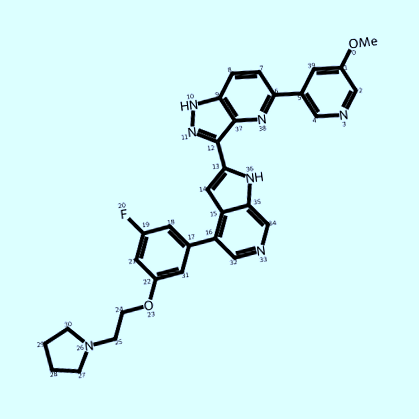 COc1cncc(-c2ccc3[nH]nc(-c4cc5c(-c6cc(F)cc(OCCN7CCCC7)c6)cncc5[nH]4)c3n2)c1